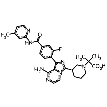 CC(C)(C(=O)O)N1CCC[C@@H](c2nc(-c3ccc(C(=O)Nc4cc(C(F)(F)F)ccn4)cc3F)c3c(N)nccn23)C1